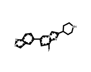 Fc1cc(-c2ccc3nscc3c2)cn2cc(C3CCNCC3)nc12